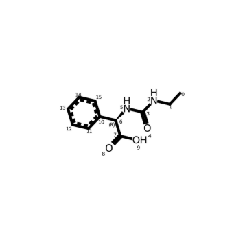 CCNC(=O)N[C@@H](C(=O)O)c1ccccc1